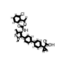 Cc1nn(C)c(-c2ccc(-c3ccc(C4(C(=O)O)CC4)cc3)cc2)c1NC(=O)OC(C)c1ccccc1Cl